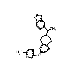 Cc1ccc(Oc2ccc3c(c2)CCN(C(C)c2ccc4scnc4c2)CC3)cn1